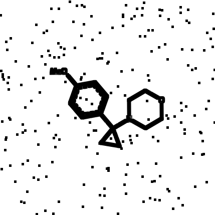 COc1ccc(C2(N3CCOCC3)CC2)cc1